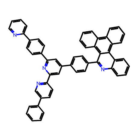 c1ccc(-c2ccc(-c3cc(-c4ccc(-c5nc6ccccc6c6c7ccccc7c7ccccc7c56)cc4)cc(-c4ccc(-c5ccccn5)cc4)n3)nc2)cc1